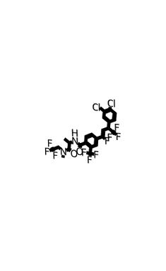 CC(NC(=O)c1ccc(/C(F)=C/C(c2ccc(Cl)c(Cl)c2)C(F)(F)F)cc1C(F)(F)F)C(=O)N(C)CC(F)(F)F